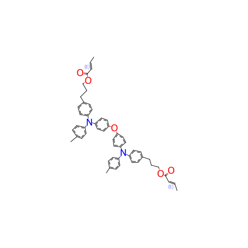 C/C=C/C(=O)OCCCc1ccc(N(c2ccc(C)cc2)c2ccc(Oc3ccc(N(c4ccc(C)cc4)c4ccc(CCCOC(=O)/C=C/C)cc4)cc3)cc2)cc1